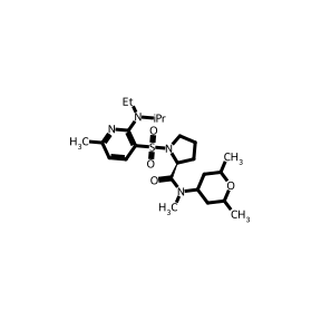 CCN(c1nc(C)ccc1S(=O)(=O)N1CCC[C@H]1C(=O)N(C)C1CC(C)OC(C)C1)C(C)C